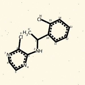 CC(Nc1nccnc1Cl)c1ccccc1Cl